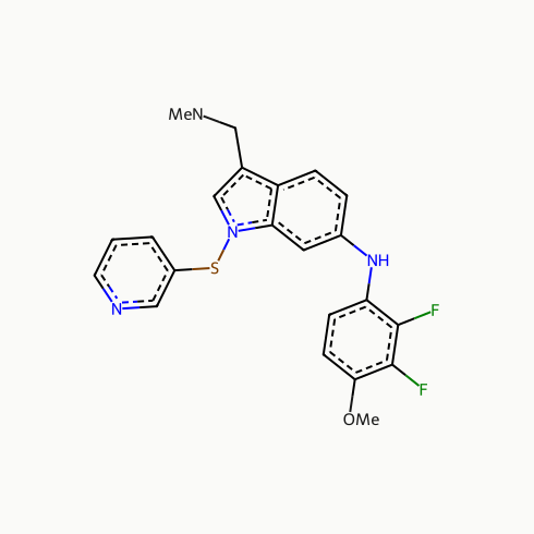 CNCc1cn(Sc2cccnc2)c2cc(Nc3ccc(OC)c(F)c3F)ccc12